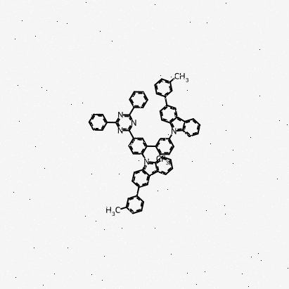 Cc1cccc(-c2ccc3c(c2)c2ccccc2n3-c2ccc(C(F)(F)F)c(-c3cc(-c4nc(-c5ccccc5)nc(-c5ccccc5)n4)ccc3-n3c4ccccc4c4cc(-c5cccc(C)c5)ccc43)c2)c1